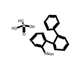 CCCCCCCCCc1ccccc1-c1ccccc1-c1ccccc1.O=P(O)(O)O